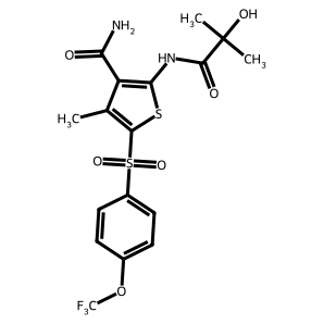 Cc1c(S(=O)(=O)c2ccc(OC(F)(F)F)cc2)sc(NC(=O)C(C)(C)O)c1C(N)=O